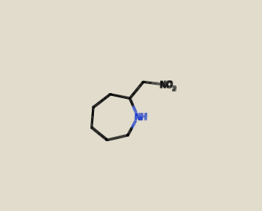 O=[N+]([O-])CC1CCCCCN1